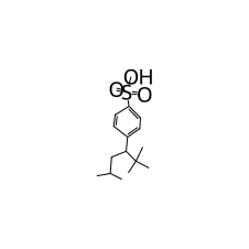 CC(C)CC(c1ccc(S(=O)(=O)O)cc1)C(C)(C)C